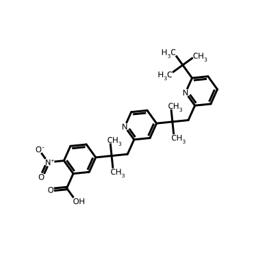 CC(C)(C)c1cccc(CC(C)(C)c2ccnc(CC(C)(C)c3ccc([N+](=O)[O-])c(C(=O)O)c3)c2)n1